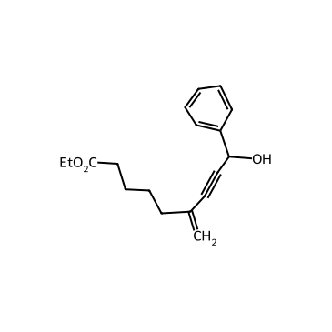 C=C(C#CC(O)c1ccccc1)CCCCC(=O)OCC